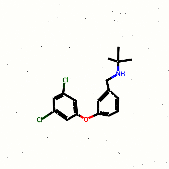 CC(C)(C)NCc1cccc(Oc2cc(Cl)cc(Cl)c2)c1